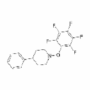 Fc1c(F)c(F)c(ON2CCC(c3ccccc3)CC2)c(F)c1F